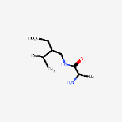 CCC(C)C(N)C(=O)NCC(CC(=O)O)C(C)C(C)CC